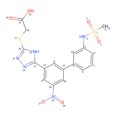 CS(=O)(=O)Nc1cccc(-c2cc(-c3nnc(SCC(=O)O)[nH]3)cc([N+](=O)[O-])c2)c1